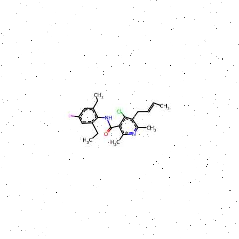 CC=CCc1c(C)nc(C)c(C(=O)Nc2c(CC)cc(I)cc2CC)c1Cl